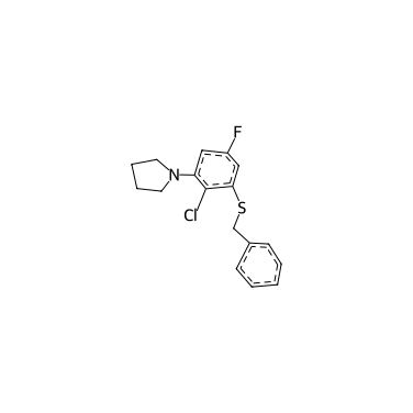 Fc1cc(SCc2ccccc2)c(Cl)c(N2CCCC2)c1